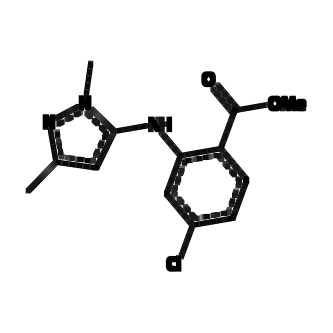 COC(=O)c1ccc(Cl)cc1Nc1cc(C)nn1C